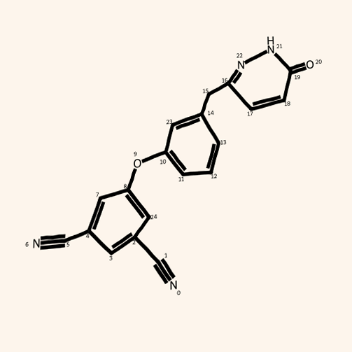 N#Cc1cc(C#N)cc(Oc2cccc(Cc3ccc(=O)[nH]n3)c2)c1